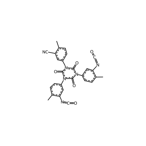 Cc1ccc(-n2c(=O)n(-c3ccc(C)c(N=C=O)c3)c(=O)n(-c3ccc(C)c(N=C=O)c3)c2=O)cc1C#N